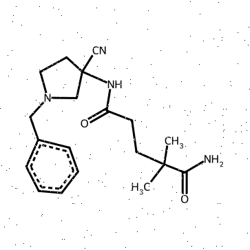 CC(C)(C[CH]C(=O)NC1(C#N)CCN(Cc2ccccc2)C1)C(N)=O